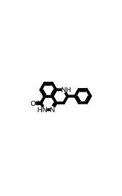 O=c1[nH]nc2c3c(cccc13)NC(c1ccccc1)C2